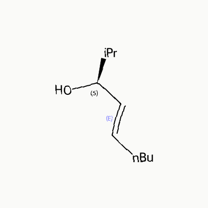 CCCC/C=C/[C@@H](O)C(C)C